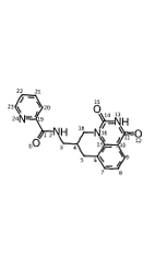 O=C(NCC1Cc2cccc3c(=O)[nH]c(=O)n(c23)C1)c1ccccn1